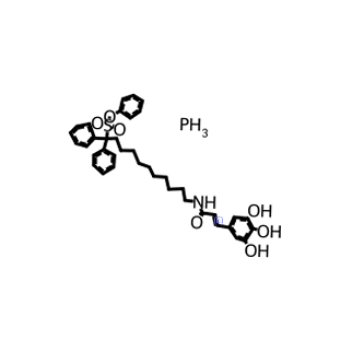 O=C(/C=C/c1cc(O)c(O)c(O)c1)NCCCCCCCCCCC(c1ccccc1)(c1ccccc1)S(=O)(=O)Oc1ccccc1.P